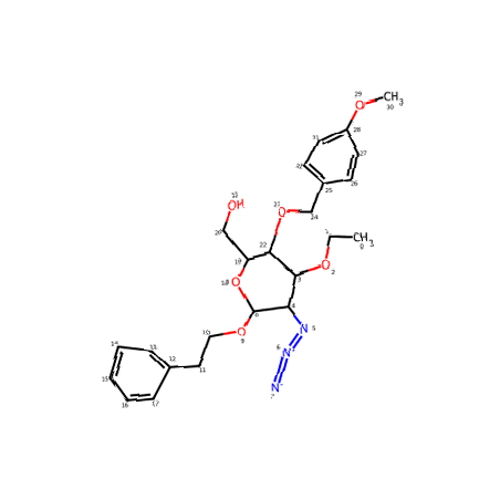 CCOC1C(N=[N+]=[N-])C(OCCc2ccccc2)OC(CO)C1OCc1ccc(OC)cc1